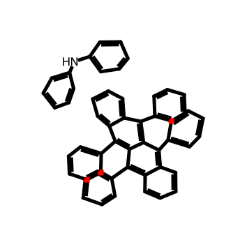 c1ccc(-c2c3ccccc3c(-c3ccccc3)c3c(-c4ccccc4)c4ccccc4c(-c4ccccc4)c23)cc1.c1ccc(Nc2ccccc2)cc1